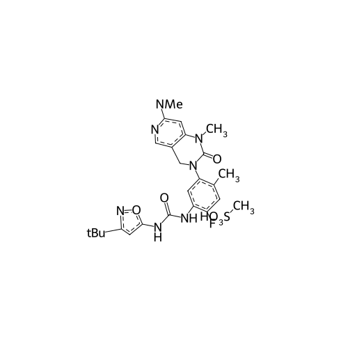 CNc1cc2c(cn1)CN(c1cc(NC(=O)Nc3cc(C(C)(C)C)no3)c(F)cc1C)C(=O)N2C.CS(=O)(=O)O